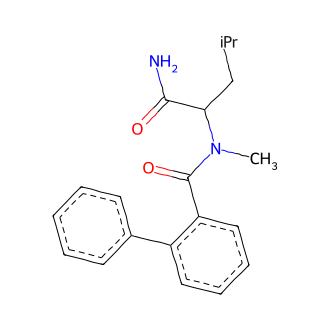 CC(C)CC(C(N)=O)N(C)C(=O)c1ccccc1-c1ccccc1